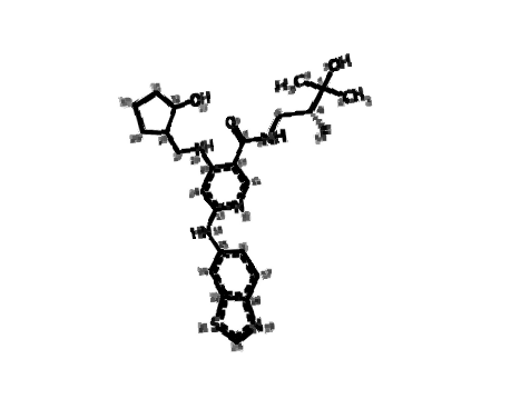 CC(C)(O)[C@H](F)CNC(=O)c1cnc(Nc2ccc3ncsc3c2)cc1NCC1CCCC1O